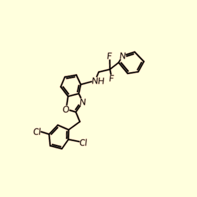 FC(F)(CNc1cccc2oc(Cc3cc(Cl)ccc3Cl)nc12)c1ccccn1